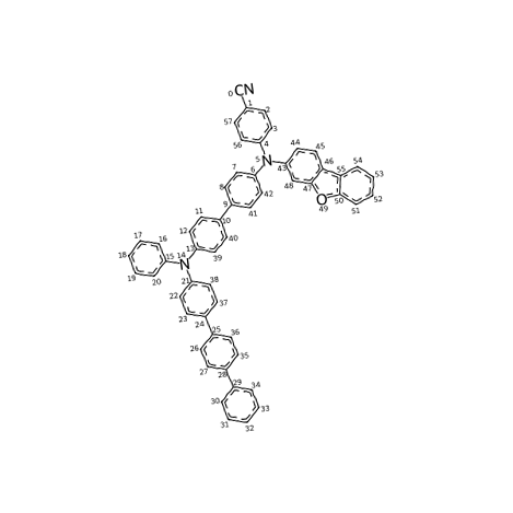 N#Cc1ccc(N(c2ccc(-c3ccc(N(c4ccccc4)c4ccc(-c5ccc(-c6ccccc6)cc5)cc4)cc3)cc2)c2ccc3c(c2)oc2ccccc23)cc1